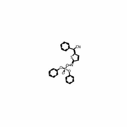 N#CC(=C1C=CC(=NOP(=O)(Oc2ccccc2)Oc2ccccc2)S1)c1ccccc1